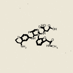 CNC(=O)C1Oc2c1cccc2N1C(NC(CC(=O)O)C(=O)O)=NC=C(F)C1Nc1ccc2c(c1)C(N)CCO2